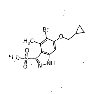 Cc1c(Br)c(OCC2CC2)cc2[nH]nc(S(C)(=O)=O)c12